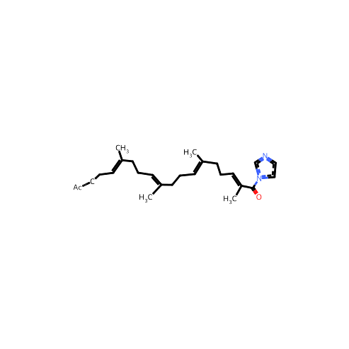 CC(=O)CCC=C(C)CCC=C(C)CCC=C(C)CCC=C(C)C(=O)n1ccnc1